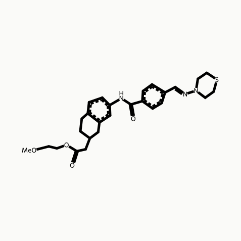 COCCOC(=O)CC1CCc2ccc(NC(=O)c3ccc(C=NN4CCSCC4)cc3)cc2C1